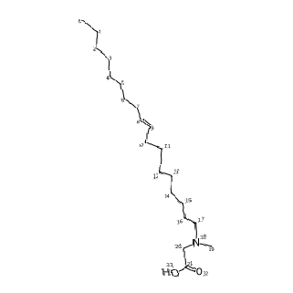 CCCCCCCCC=CCCCCCCCCN(C)CC(=O)O